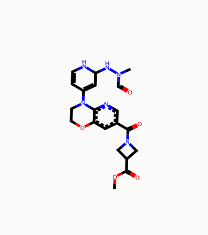 COC(=O)C1CN(C(=O)c2cnc3c(c2)OCCN3C2=CC(NN(C)C=O)NC=C2)C1